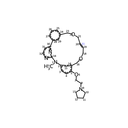 CN1c2ccc(OCCN3CCCC3)c(c2)COC/C=C/COCc2cccc(c2)-c2ccnc1n2